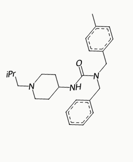 Cc1ccc(CN(Cc2ccccc2)C(=O)NC2CCN(CC(C)C)CC2)cc1